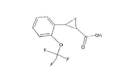 O=C(O)C1CC1c1ccccc1OC(F)(F)F